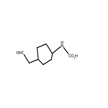 O=CCC1CCC(NC(=O)O)CC1